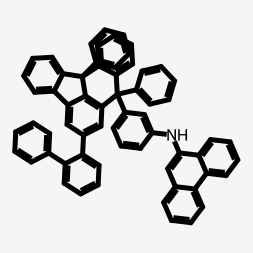 c1ccc(-c2ccccc2-c2cc3c4c(c2)C(c2ccccc2)(c2cccc(Nc5cc6ccccc6c6ccccc56)c2)c2ccccc2C4(c2ccccc2)c2ccccc2-3)cc1